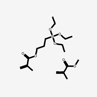 C=C(C)C(=O)OC.C=C(C)C(=O)OCCC[Si](OCC)(OCC)OCC